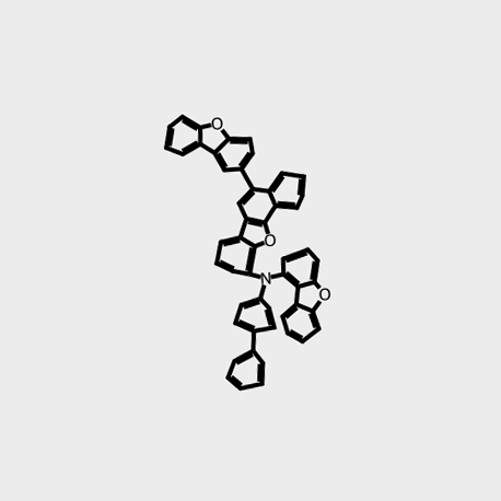 c1ccc(-c2ccc(N(c3cccc4c3oc3c5ccccc5c(-c5ccc6oc7ccccc7c6c5)cc43)c3cccc4oc5ccccc5c34)cc2)cc1